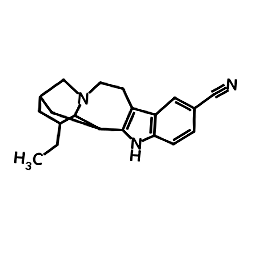 CCC1CC2CC3c4[nH]c5ccc(C#N)cc5c4CCN(C2)C13